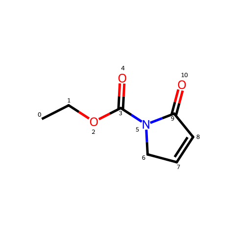 CCOC(=O)N1CC=CC1=O